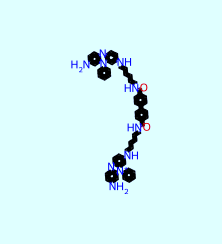 Nc1ccc2c(c1)N(c1ccccc1)C1C=C(NCCCCCCNC(=O)c3ccc(-c4ccc(C(=O)NCCCCCCNc5ccc6nc7ccc(N)cc7[n+](-c7ccccc7)c6c5)cc4)cc3)C=CC1=N2